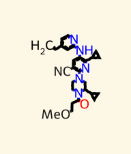 C=Cc1ccnc(Nc2cc(C#N)c(N3CCN(C(=O)CCOC)C(C4CC4)C3)nc2C2CC2)c1